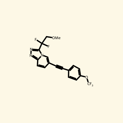 COCC(F)(F)c1nnc2ccc(C#Cc3ccc(OC(F)(F)F)cc3)cn12